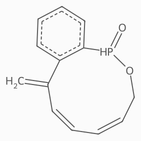 C=C1/C=C\C=C/CO[PH](=O)c2ccccc21